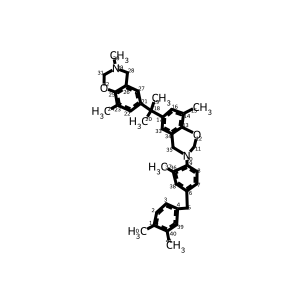 Cc1ccc(Cc2ccc(N3COc4c(C)cc(C(C)(C)c5cc(C)c6c(c5)CN(C)CO6)cc4C3)c(C)c2)cc1C